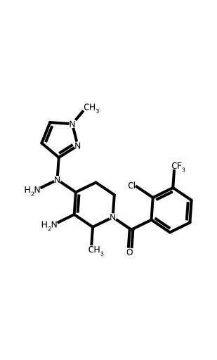 CC1C(N)=C(N(N)c2ccn(C)n2)CCN1C(=O)c1cccc(C(F)(F)F)c1Cl